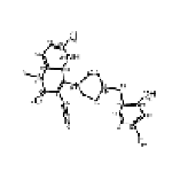 CN1C(=O)C(C#N)=C(N2CCN(Cc3ccc(F)cc3O)CC2)C2NC(Cl)=CC=C21